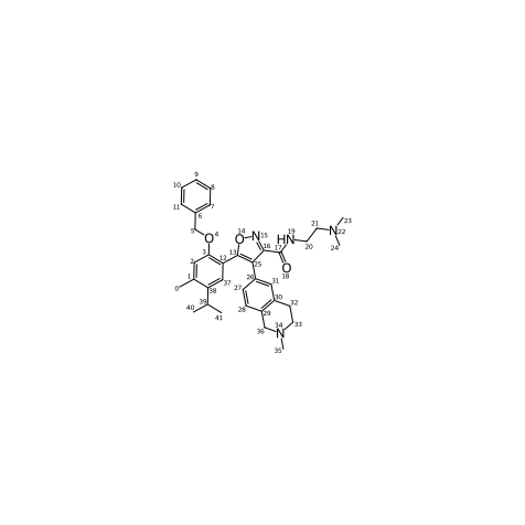 Cc1cc(OCc2ccccc2)c(-c2onc(C(=O)NCCN(C)C)c2-c2ccc3c(c2)CCN(C)C3)cc1C(C)C